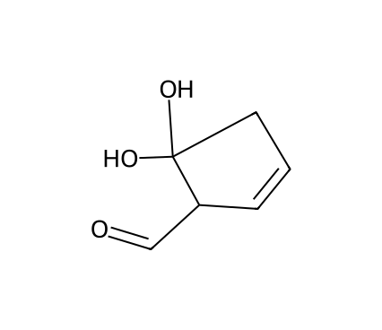 O=CC1C=CCC1(O)O